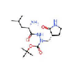 CC(C)C[C@H](N)C(=O)NN(C[C@H]1CCNC1=O)C(=O)OC(C)(C)C